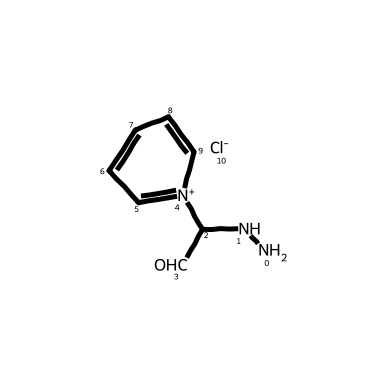 NNC(C=O)[n+]1ccccc1.[Cl-]